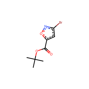 CC(C)(C)OC(=O)c1cc(Br)no1